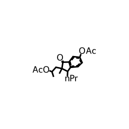 CCCC1c2ccc(OC(C)=O)cc2C(=O)C1(C)CC(C)OC(C)=O